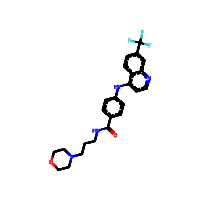 O=C(NCCCN1CCOCC1)c1ccc(Nc2ccnc3cc(C(F)(F)F)ccc23)cc1